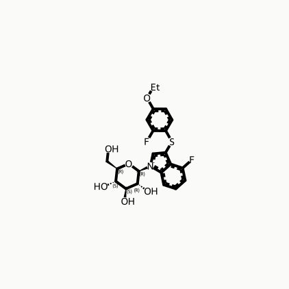 CCOc1ccc(Sc2cn([C@@H]3O[C@H](CO)[C@@H](O)[C@H](O)[C@H]3O)c3cccc(F)c23)c(F)c1